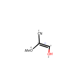 CO/C(C#N)=C\O